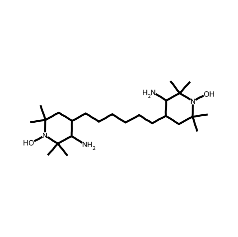 CC1(C)CC(CCCCCCC2CC(C)(C)N(O)C(C)(C)C2N)C(N)C(C)(C)N1O